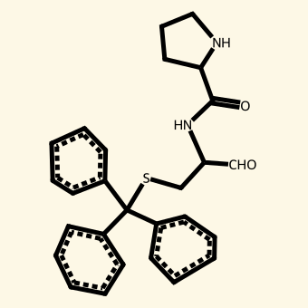 O=CC(CSC(c1ccccc1)(c1ccccc1)c1ccccc1)NC(=O)C1CCCN1